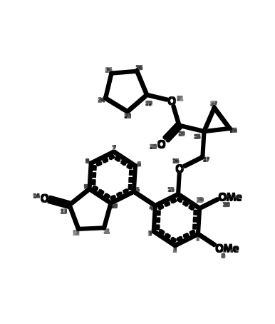 COc1ccc(-c2cccc3c2CCC3=O)c(OCC2(C(=O)OC3CCCC3)CC2)c1OC